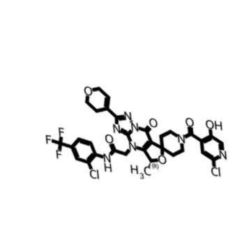 C[C@H]1OC2(CCN(C(=O)c3cc(Cl)ncc3O)CC2)c2c1n(CC(=O)Nc1ccc(C(F)(F)F)cc1Cl)c1nc(C3=CCOCC3)nn1c2=O